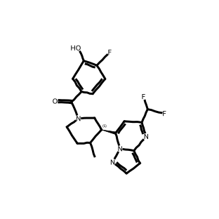 CC1CCN(C(=O)c2ccc(F)c(O)c2)C[C@H]1c1cc(C(F)F)nc2ccnn12